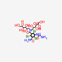 NCC(=O)Nc1c(Br)c(C(N)=O)c(Br)c(C(=O)N(CC(O)C(O)C(O)C(O)CO)CC(O)C(O)C(O)C(O)CO)c1Br